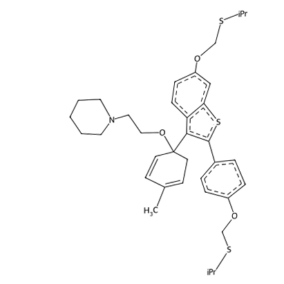 CC1=CCC(OCCN2CCCCC2)(c2c(-c3ccc(OCSC(C)C)cc3)sc3cc(OCSC(C)C)ccc23)C=C1